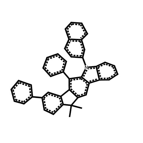 CC1(C)c2ccc(-c3ccccc3)cc2-c2c1cc1c3ccccc3n(-c3ccc4ccccc4c3)c1c2-c1ccccc1